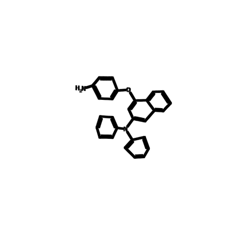 Nc1ccc(Oc2cc(N(c3ccccc3)c3ccccc3)cc3ccccc23)cc1